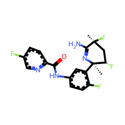 C[C@]1(F)C[C@H](F)[C@@](C)(c2cc(NC(=O)c3ccc(F)cn3)ccc2F)N=C1N